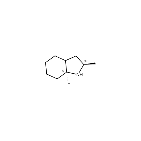 C[C@@H]1CC2CCCC[C@@H]2N1